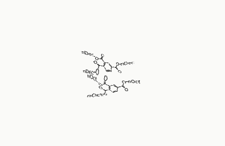 CCCCCCCCCCOC(=O)c1ccc(C(=O)OCCCCCCCCCC)c(C(=O)OCCCCCCCCCC)c1.CCCCCCCCOC(=O)c1ccc(C(=O)OCCCCCCCC)c(C(=O)OCCCCCCCC)c1